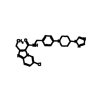 CCc1nc2ccc(Cl)cn2c1C(=O)NCc1ccc(N2CCC(n3cncn3)CC2)cc1